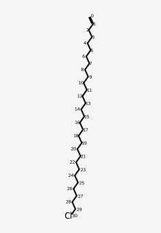 C=CCCCCCCCCCCCCCCCCCCCCCCCCCCCCCl